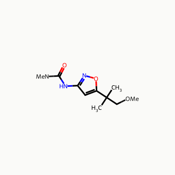 CNC(=O)Nc1cc(C(C)(C)COC)on1